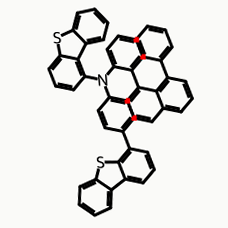 c1ccc(-c2cccc3cccc(-c4ccccc4N(c4ccc(-c5cccc6c5sc5ccccc56)cc4)c4cccc5sc6ccccc6c45)c23)cc1